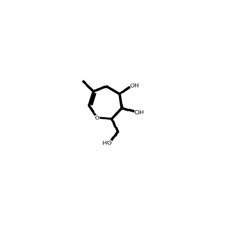 CC1=COC(CO)C(O)C(O)C1